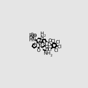 CC(C)(C)OC(=O)N[C@@H](CC(N)=O)C(=O)N1CCC[C@H]1C(=O)N[C@@H](CC(N)=O)C(=O)N1CCC[C@H]1C(=O)Oc1c(Cl)c(Cl)c(Cl)c(Cl)c1Cl